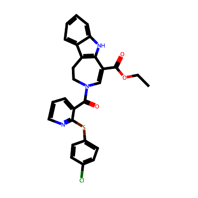 CCOC(=O)C1=CN(C(=O)c2cccnc2Sc2ccc(Cl)cc2)CCc2c1[nH]c1ccccc21